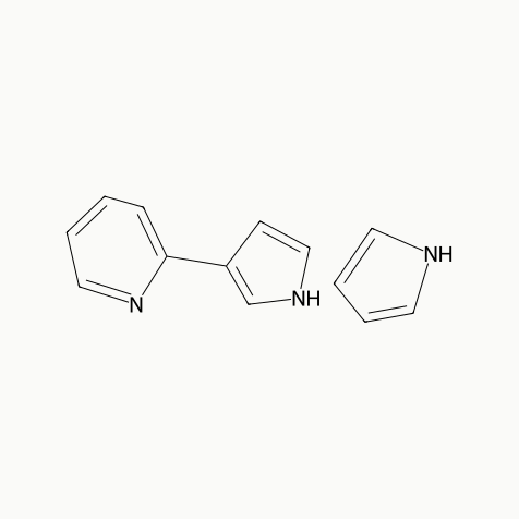 c1cc[nH]c1.c1ccc(-c2cc[nH]c2)nc1